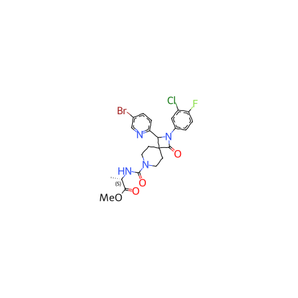 COC(=O)[C@H](C)NC(=O)N1CCC2(CC1)C(=O)N(c1ccc(F)c(Cl)c1)C2c1ccc(Br)cn1